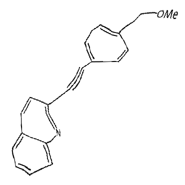 COCc1ccc(C#Cc2ccc3ccccc3n2)cc1